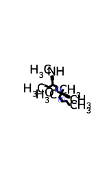 CC#CC(C)(/C=C\CCC)/C(C)=C/C(C#CNC)C(=O)CC